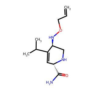 C=CCON[C@H]1CN[C@H](C(N)=O)C=C1C(C)C